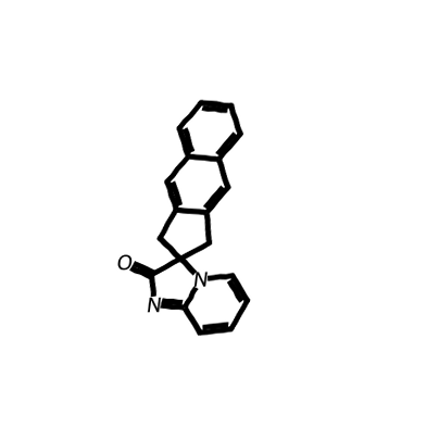 O=C1N=C2C=CC=CN2C12Cc1cc3ccccc3cc1C2